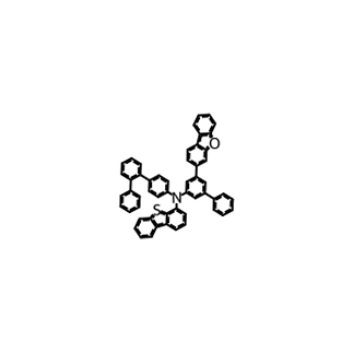 c1ccc(-c2cc(-c3ccc4c(c3)oc3ccccc34)cc(N(c3ccc(-c4ccccc4-c4ccccc4)cc3)c3cccc4c3sc3ccccc34)c2)cc1